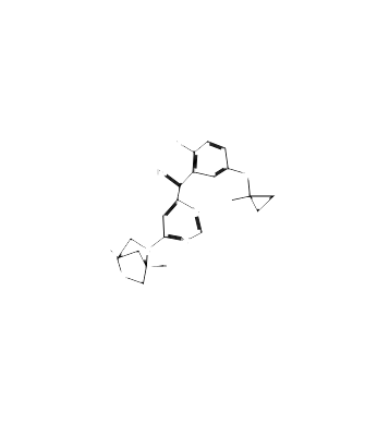 CC1(Oc2ccc(N)c(C(=N)c3cc(N4C[C@@H]5C[C@H]4CO5)ncn3)c2)CC1